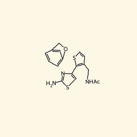 CC(=O)NCc1ccsc1-c1csc(N)n1.c1cc2cc(c1)OC2